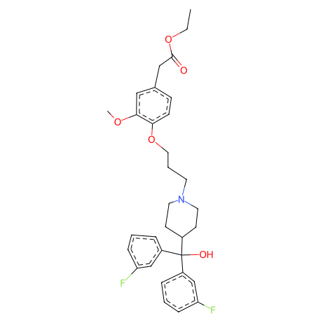 CCOC(=O)Cc1ccc(OCCCN2CCC(C(O)(c3cccc(F)c3)c3cccc(F)c3)CC2)c(OC)c1